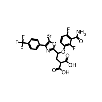 NC(=O)c1c(F)ccc(OC(CC(C(=O)O)C(=O)O)c2nc(-c3ccc(C(F)(F)F)cc3)c(Br)o2)c1F